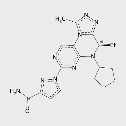 CC[C@@H]1c2nnc(C)n2-c2cnc(-n3ccc(C(N)=O)n3)nc2N1C1CCCC1